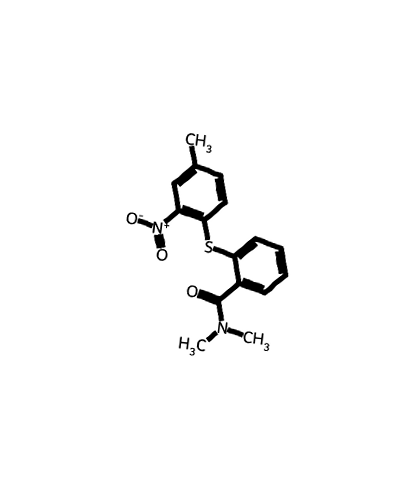 Cc1ccc(Sc2ccccc2C(=O)N(C)C)c([N+](=O)[O-])c1